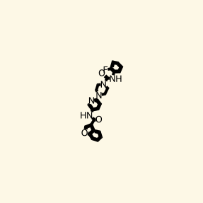 O=C(Nc1ccc(N2CCN(C(=O)Nc3ccccc3F)CC2)nc1)c1coc2ccccc12